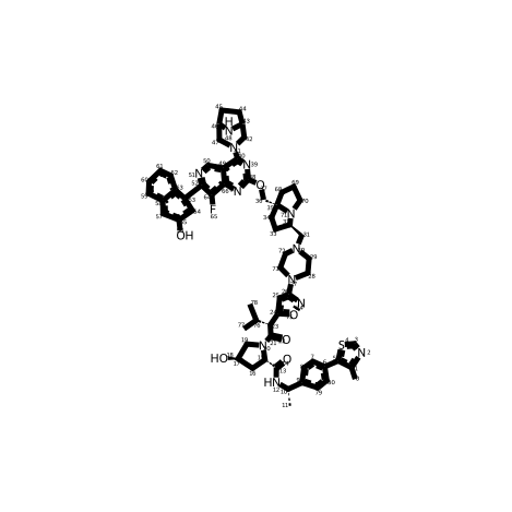 Cc1ncsc1-c1ccc([C@H](C)NC(=O)[C@@H]2C[C@@H](O)CN2C(=O)[C@@H](c2cc(N3CCN(C[C@H]4CC[C@@]5(COc6nc(N7CC8CCC(C7)N8)c7cnc(-c8cc(O)cc9ccccc89)c(F)c7n6)CCCN45)CC3)no2)C(C)C)cc1